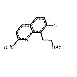 CC(=O)OCCc1c(Cl)ccc2ccc(C=O)nc12